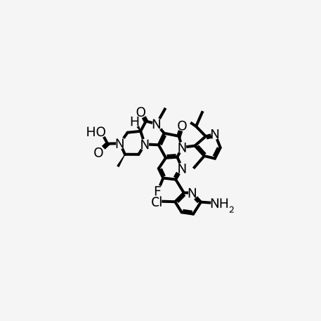 Cc1ccnc(C(C)C)c1-n1c(=O)c2c(c3cc(F)c(-c4nc(N)ccc4Cl)nc31)N1C[C@@H](C)N(C(=O)O)C[C@@H]1C(=O)N2C